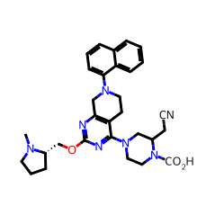 CN1CCC[C@H]1COc1nc2c(c(N3CCN(C(=O)O)C(CC#N)C3)n1)CCN(c1cccc3ccccc13)C2